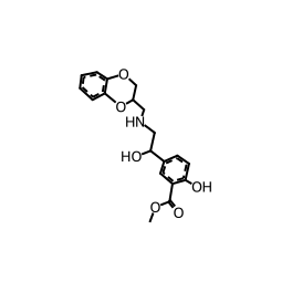 COC(=O)c1cc(C(O)CNCC2COc3ccccc3O2)ccc1O